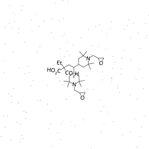 CCC(CC(C1CC(C)(C)N(CC2CO2)C(C)(C)C1)C1CC(C)(C)N(CC2CO2)C(C)(C)C1)(C(=O)O)C(=O)O